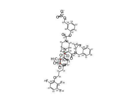 CC(C)(OC(=O)N1C2CC(c3ccc(CCCOc4c(F)ccc(F)c4F)cc3)=C(C(=O)N(Cc3ccccc3F)C3CC3)C1CN(C(=O)Oc1cccc(CO[N+](=O)[O-])c1)C2)C(Cl)(Cl)Cl